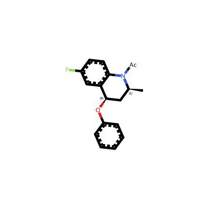 CC(=O)N1c2ccc(F)cc2[C@H](Oc2ccccc2)C[C@@H]1C